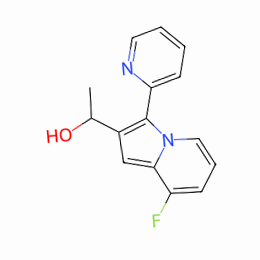 CC(O)c1cc2c(F)cccn2c1-c1ccccn1